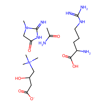 CC(N)=O.CN1CC(=O)NC1=N.C[N+](C)(C)CC(O)CC(=O)[O-].N=C(N)NCCCC(N)C(=O)O